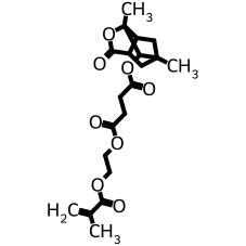 C=C(C)C(=O)OCCOC(=O)CCC(=O)OC1C2(C)CC3C(=O)OC1(C)C3C2